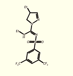 CCN/C(=N\S(=O)(=O)c1cc(C(F)(F)F)cc(C(F)(F)F)c1)N1CC(CC)C=N1